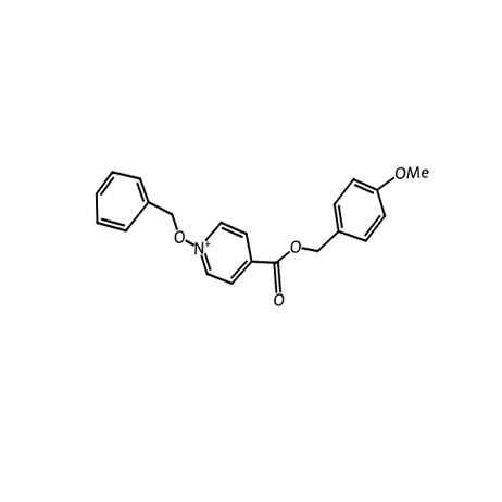 COc1ccc(COC(=O)c2cc[n+](OCc3ccccc3)cc2)cc1